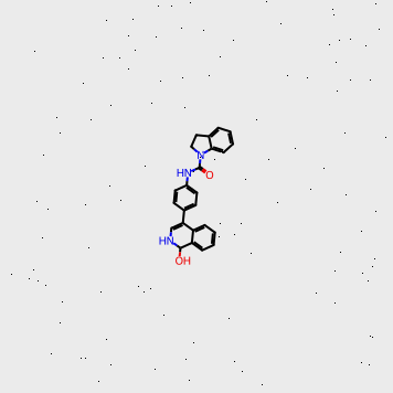 O=C(Nc1ccc(C2=CNC(O)c3ccccc32)cc1)N1CCc2ccccc21